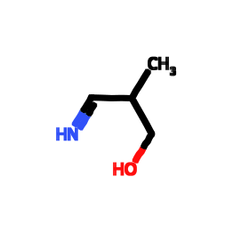 CC(C=N)CO